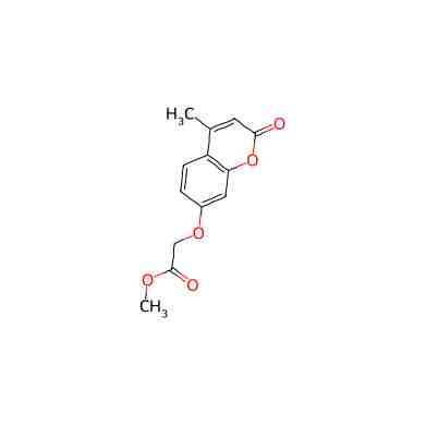 COC(=O)COc1ccc2c(C)cc(=O)oc2c1